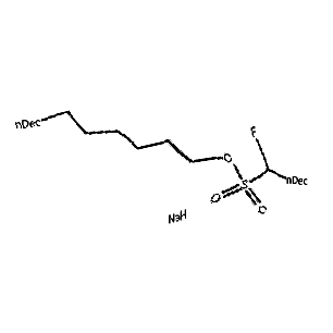 CCCCCCCCCCCCCCCCOS(=O)(=O)C(F)CCCCCCCCCC.[NaH]